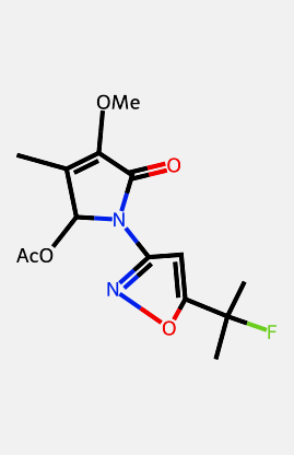 COC1=C(C)C(OC(C)=O)N(c2cc(C(C)(C)F)on2)C1=O